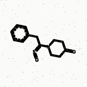 O=S=C(Cc1ccccc1)N1CCC(=O)CC1